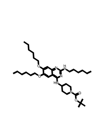 CCCCCCNc1nc(NC2CCN(C(=O)OC(C)(C)C)CC2)c2cc(OCCCCCC)c(OCCCCCC)cc2n1